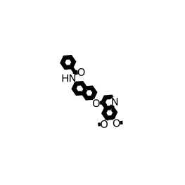 COc1cc2nccc(Oc3ccc4cc(NC(=O)c5ccccc5)ccc4c3)c2cc1OC